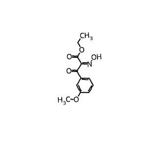 CCOC(=O)C(=NO)C(=O)c1cccc(OC)c1